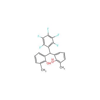 Cc1cccc(C(c2cccc(C)c2O)c2c(F)c(F)c(F)c(F)c2F)c1O